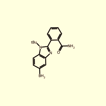 Bc1ccc2c(c1)nc(-c1ccccc1C(N)=O)n2C(C)(C)C